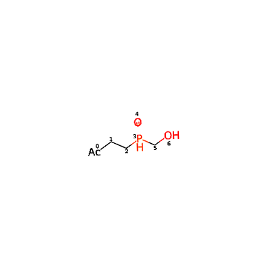 CC(=O)CC[PH](=O)CO